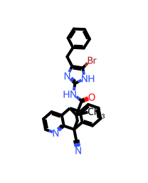 CC1(C(=O)Nc2nc(Cc3ccccc3)c(Br)[nH]2)CC2(C#N)c3ccccc3C1c1cccnc12